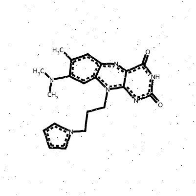 Cc1cc2nc3c(=O)[nH]c(=O)nc-3n(CCCn3cccc3)c2cc1N(C)C